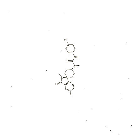 Cc1ccc2c(c1)C(=O)N(C)[C@]21CC[C@H]([C@H](C)C(=O)Nc2ccc(Cl)cc2)CC1